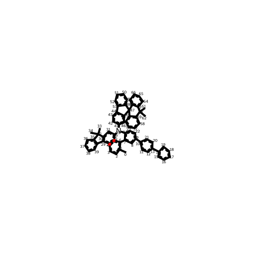 Cc1ccccc1-c1cc(-c2ccc(-c3ccccc3)cc2)ccc1N(c1ccc2c(c1)C(C)(C)c1ccccc1-2)c1ccc2c(c1)C1(c3ccccc3-2)c2ccccc2C(C)(C)c2ccccc21